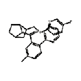 Cc1ccc(-c2ncccn2)c(C(=O)N2C3CCC2C(COc2ccc(F)cn2)C3)c1